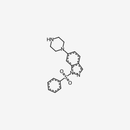 O=S(=O)(c1ccccc1)n1ncc2ccc(N3CCNCC3)cc21